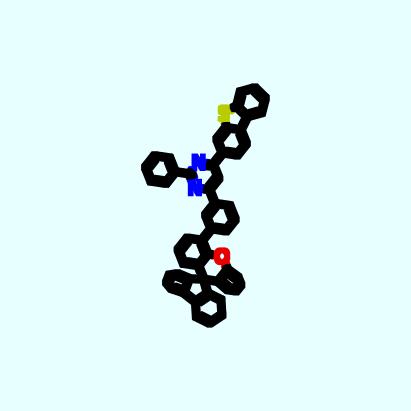 C1=CC2=C(CC1)C1(c3ccccc3Oc3c(-c4cccc(-c5cc(-c6ccc7c(c6)sc6ccccc67)nc(-c6ccccc6)n5)c4)cccc31)c1ccccc12